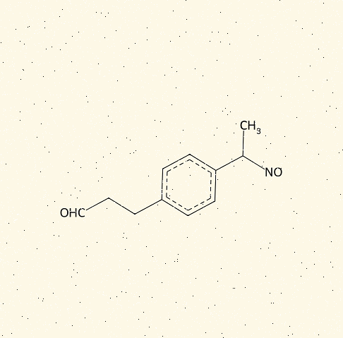 CC(N=O)c1ccc(CCC=O)cc1